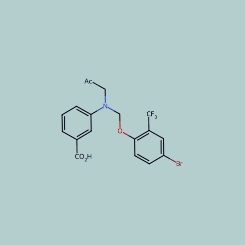 CC(=O)CN(COc1ccc(Br)cc1C(F)(F)F)c1cccc(C(=O)O)c1